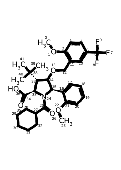 COc1ccc(C(F)(F)F)cc1COC1[C@@H](c2ccccc2OC)N(C(=O)C2CCCCC2)[C@@H](C(=O)O)[C@@H]1C(C)(C)C